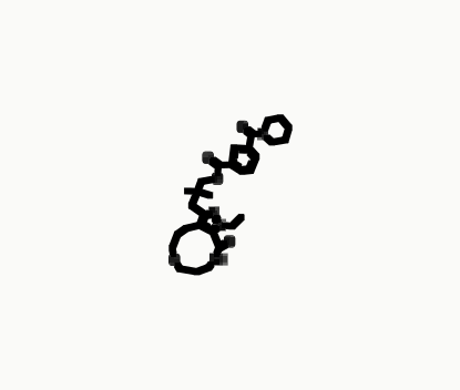 CCn1nc(CC(C)(C)COC(=O)c2cccc(C(=O)N3CCCCC3)c2)c2c1C(=O)NCCCOCCC2